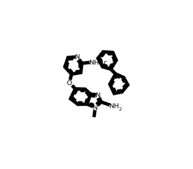 CC(=O)Nc1cc(Oc2ccc3c(c2)nc(N)n3C)ccn1.c1ccc(-c2ccccc2)cc1